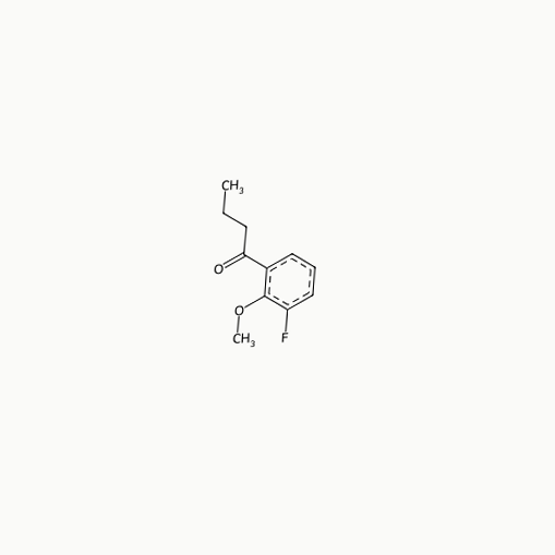 CCCC(=O)c1cccc(F)c1OC